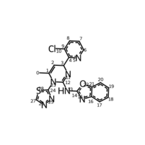 CC1=CC(c2ncccc2Cl)N=C(Nc2nc3ccccc3o2)N1c1nncs1